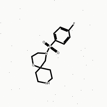 O=S(=O)(c1ccc(F)cc1)N1CCOC2(CCNCC2)C1